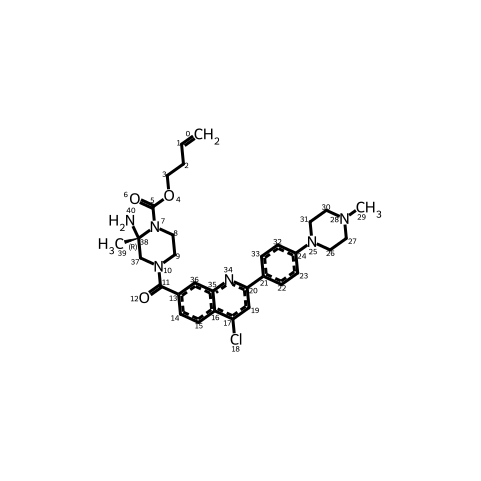 C=CCCOC(=O)N1CCN(C(=O)c2ccc3c(Cl)cc(-c4ccc(N5CCN(C)CC5)cc4)nc3c2)C[C@]1(C)N